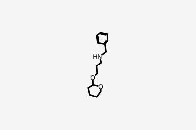 c1ccc(CNCCCOC2CCCCO2)cc1